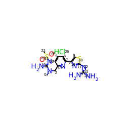 CN(Cc1cccc(-c2csc(N=C(N)N)n2)n1)C(N)=NS(C)(=O)=O.Cl